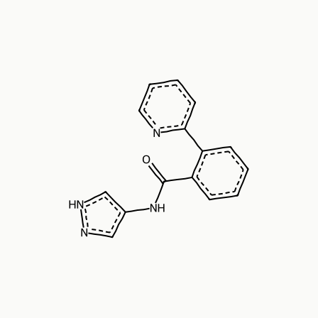 O=C(Nc1cn[nH]c1)c1ccccc1-c1ccccn1